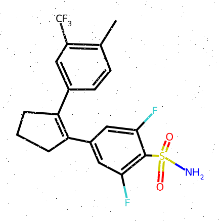 Cc1ccc(C2=C(c3cc(F)c(S(N)(=O)=O)c(F)c3)CCC2)cc1C(F)(F)F